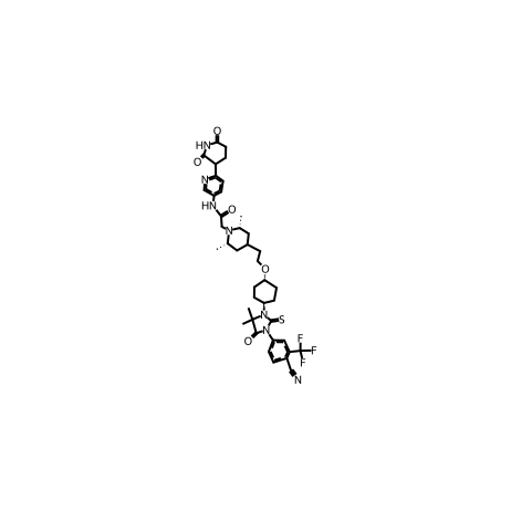 C[C@@H]1CC(CCO[C@H]2CC[C@H](N3C(=S)N(c4ccc(C#N)c(C(F)(F)F)c4)C(=O)C3(C)C)CC2)C[C@H](C)N1CC(=O)Nc1ccc(C2CCC(=O)NC2=O)nc1